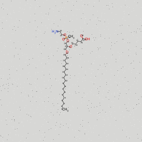 CCCCCCCCCCCCCCCCCCCCOCC(COP(C)(=O)OCCN)OCCCCC(=O)O